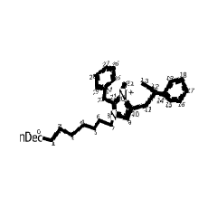 CCCCCCCCCCCCCCCCCn1cc(CC(C)c2ccccc2)[n+](C)c1Cc1ccccc1